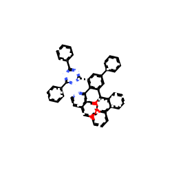 c1ccc(-c2cc(-c3nc(-c4ccccc4)nc(-c4ccccc4)n3)c(-c3nccc4ccccc34)c(-c3cc4ccccc4c4ccccc34)c2)cc1